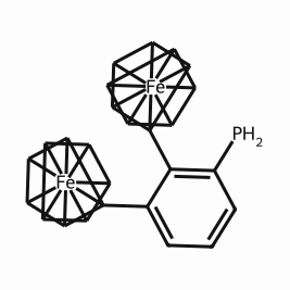 Pc1cccc([C]23[CH]4[CH]5[CH]6[CH]2[Fe]56432789[CH]3[CH]2[CH]7[CH]8[CH]39)c1[C]12[CH]3[CH]4[CH]5[CH]1[Fe]45321678[CH]2[CH]1[CH]6[CH]7[CH]28